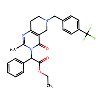 CCOC(=O)C(c1ccccc1)n1c(C)nc2c(c1=O)CN(Cc1ccc(C(F)(F)F)cc1)CC2